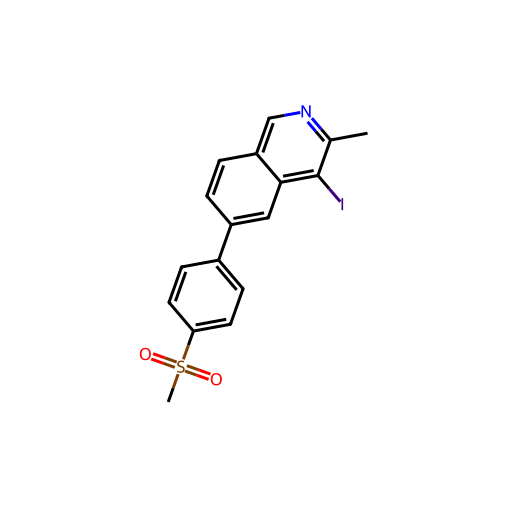 Cc1ncc2ccc(-c3ccc(S(C)(=O)=O)cc3)cc2c1I